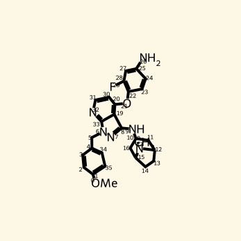 COc1ccc(Cn2nc(NC3CC4CCC(C3)N4C)c3c(Oc4ccc(N)cc4F)ccnc32)cc1